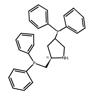 c1ccc(P(C[C@H]2CC(P(c3ccccc3)c3ccccc3)CN2)c2ccccc2)cc1